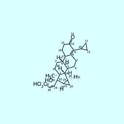 C[C@]12CC[C@H]3[C@@H](CCC4=C(C5CC5)C(=O)CC[C@@H]43)[C@@H]1[C@H]1C[C@H]1[C@@]2(O)/C=C\C(=O)O